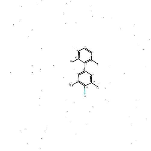 [2H]c1cc(-c2c(C)cccc2C)cc(C)c1F